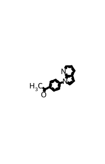 CC(=O)c1ccc(-n2ccc3cccnc32)cc1